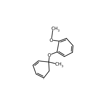 COc1ccccc1OC1(C)C=CC=[C]C1